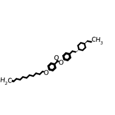 C=CCCCCCCCCCOc1ccc(C(=O)Oc2ccc(CC[C@H]3CC[C@H](CCC)CC3)cc2)cc1